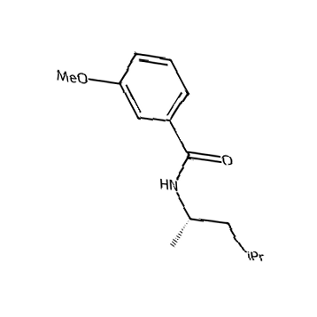 COc1cccc(C(=O)N[C@@H](C)CC(C)C)c1